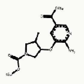 COC(=O)c1cnc(N)c(OC2CN(C(=O)OC(C)(C)C)CC2C)c1